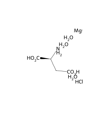 Cl.N[C@@H](CC(=O)O)C(=O)O.O.O.O.[Mg]